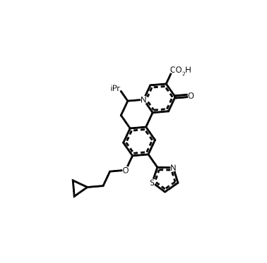 CC(C)C1Cc2cc(OCCC3CC3)c(-c3nccs3)cc2-c2cc(=O)c(C(=O)O)cn21